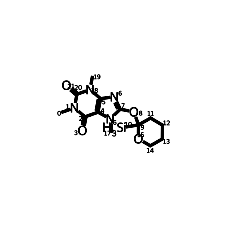 Cn1c(=O)c2c(nc(OC3([SiH3])CCCCO3)n2C)n(C)c1=O